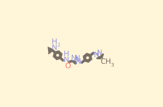 Cc1cnn(Cc2ccc(Cn3cc(C(=O)NCc4ccc(C5(N)CC5)cc4)nn3)cc2)c1